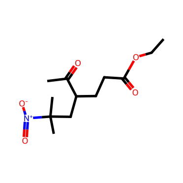 CCOC(=O)CCC(CC(C)(C)[N+](=O)[O-])C(C)=O